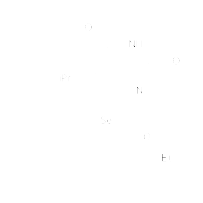 CCOCn1c([Se]c2cccc(C)c2)c(C(C)C)c(=O)[nH]c1=O